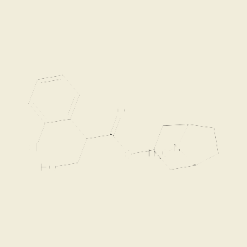 CN1C2CCC1CC(OC(=O)C(CO)c1ccccc1Cl)C2